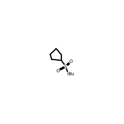 CC(C)(C)S(=O)(=O)C1CCCC1